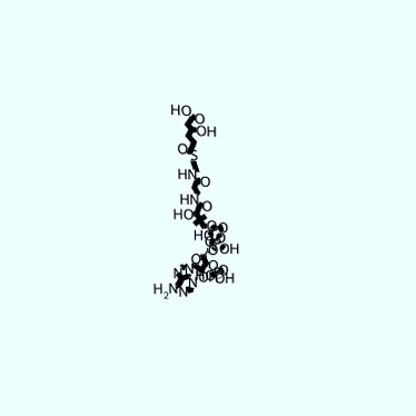 CC(C)(COP(=O)(O)OP(=O)(O)OC[C@H]1O[C@@H](n2cnc3c(N)ncnc32)[C@H](O)[C@@H]1OP(=O)(O)O)C(O)C(=O)NCCC(=O)NCCSC(=O)CCC(O)CC(=O)O